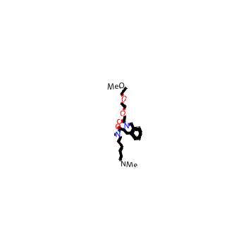 CNCCCCCCN(C)C(=O)C1Cc2ccccc2CN1C(=O)COCCOCCOC